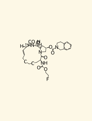 O=C(N[C@H]1CCCCC/C=C/[C@@H]2C[C@@]2(C(=O)O)NC(=O)[C@@H]2C[C@@H](OC(=O)N3CCc4ccccc4C3)CN2C1=O)OCCF